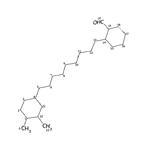 CC1CCC(CCCCCCCCCC2CCCCC2C=O)CC1C